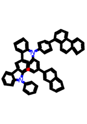 c1ccc(-n2c3ccccc3c3cc(-c4ccccc4N(c4ccc(-c5cccc6c5ccc5ccccc56)cc4)c4cccc(-c5ccc6ccccc6c5)c4)ccc32)cc1